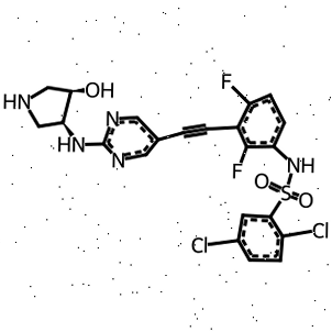 O=S(=O)(Nc1ccc(F)c(C#Cc2cnc(N[C@H]3CNC[C@H]3O)nc2)c1F)c1cc(Cl)ccc1Cl